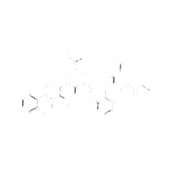 C=CNCC/C(Sc1ncccc1CN[C@@H](CCC(N)=O)C(=O)N[C@@H](CN)C(=O)N(C)Nc1ccccc1C)=C(Cl)\C=C/C